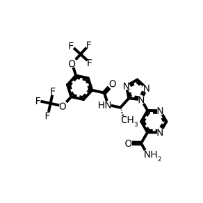 C[C@H](NC(=O)c1cc(OC(F)(F)F)cc(OC(F)(F)F)c1)c1ncnn1-c1cc(C(N)=O)ncn1